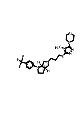 Cn1c(SCCCN2C[C@@H]3CCN(c4ccc(C(F)(F)F)cc4)[C@@H]3C2)nnc1N1CCOCC1